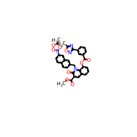 COC(=O)c1cc2cccc(OC(=O)c3cccc(-c4noc(C)n4)c3)c2n(Cc2ccc3ccc(N4OOC(C)O4)cc3c2)c1=O